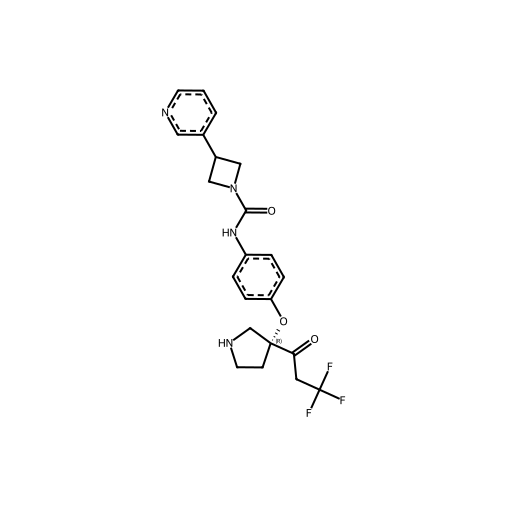 O=C(Nc1ccc(O[C@]2(C(=O)CC(F)(F)F)CCNC2)cc1)N1CC(c2cccnc2)C1